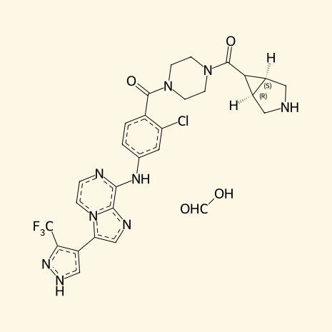 O=C(c1ccc(Nc2nccn3c(-c4c[nH]nc4C(F)(F)F)cnc23)cc1Cl)N1CCN(C(=O)C2[C@H]3CNC[C@@H]23)CC1.O=CO